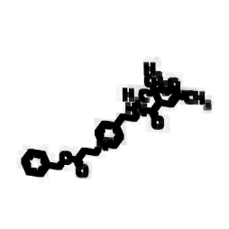 CC(C)=CC(C(=O)NCCc1cc[n+](CCC(=O)OCc2ccccc2)cc1)C(C)(C)C